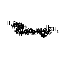 COC(=O)N[C@H]1CCc2ccn3c2C1C(=O)C[C@H](c1nc(-c2ccc4cc(-c5ccc(-c6cnc([C@@H]7CCCN7C(=O)[C@@H](NC(=O)OC)C(C)C)[nH]6)cn5)ccc4c2)c[nH]1)C3